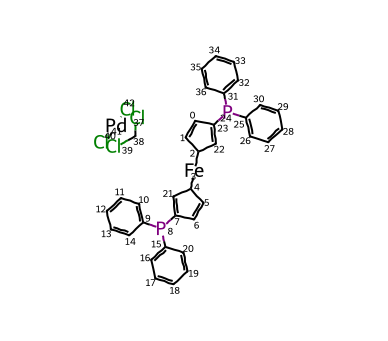 C1=C[CH]([Fe][CH]2C=CC(P(c3ccccc3)c3ccccc3)=C2)C=C1P(c1ccccc1)c1ccccc1.ClCCl.[Cl][Pd][Cl]